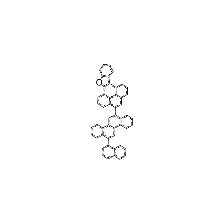 c1ccc2c(-c3cc4c5ccccc5c(-c5cc6cccc7c8c9ccccc9oc8c8cccc5c8c67)cc4c4ccccc34)cccc2c1